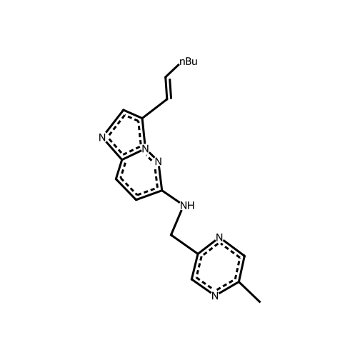 CCCCC=Cc1cnc2ccc(NCc3cnc(C)cn3)nn12